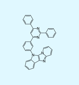 c1ccc(-c2cc(-c3cccc(-n4c5ccccc5c5nc6ccccn6c54)c3)nc(-c3ccccc3)n2)cc1